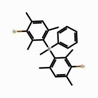 Cc1cc(C)c([B-](C)(c2ccccc2)c2c(C)cc(C)c(Br)c2C)c(C)c1Br